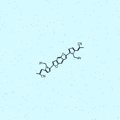 C/C(C#N)=C/c1ccc(-c2cc3cc4oc(-c5ccc(/C=C(/C)C#N)n5CC(C)C)cc4cc3o2)n1CC(C)C